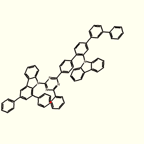 c1ccc(-c2cccc(-c3ccc(-c4ccc(-c5nc(-c6ccccc6)nc(-n6c7ccccc7c7cc(-c8ccccc8)cc(-c8ccccc8)c76)n5)cc4)c(-n4c5ccccc5c5ccccc54)c3)c2)cc1